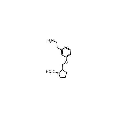 NCCc1cccc(OC[C@H]2CCCN2C(=O)O)c1